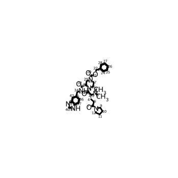 CN(C)[C@H](CCC(=O)N1CCCC1)C(=O)N1CCN(C(=O)OCc2ccccc2)C[C@H]1C(=O)NCc1ccc2[nH]cnc2c1